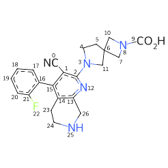 N#Cc1c(N2CCC3(CN(C(=O)O)C3)C2)nc2c(c1-c1ccccc1F)CCNC2